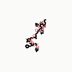 C=C1CC(CCC(=O)/C=C/[C@H](O[Si](C)(C)C(C)(C)C)[C@@H]2O[C@H]3CCC(CC)O[C@@H]3[C@H](C)[C@@H]2O[Si](C)(C)C(C)(C)C)O[C@H]1CCC1C[C@@H](C)C(=C)[C@@H](CC2O[C@H](C[C@H](C)CO[Si](C)(C)C(C)(C)C)[C@H](C)[C@H]2Cc2ccccc2)O1